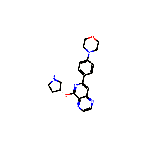 c1cnc2c(O[C@@H]3CCNC3)nc(-c3ccc(N4CCOCC4)cc3)cc2n1